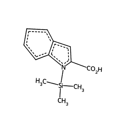 C[Si](C)(C)n1c(C(=O)O)cc2ccccc21